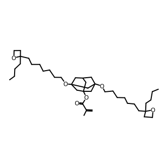 C=C(C)C(=O)OC12CC3CC(OCCCCCCCC4(CCCC)CCO4)(CC(OCCCCCCCC4(CCCC)CCO4)(C3)C1)C2